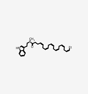 CC/C=C\C/C=C\C/C=C\C/C=C\C/C=C\C/C=C\CCC(=O)N(C)CCc1c[nH]c2ccccc12